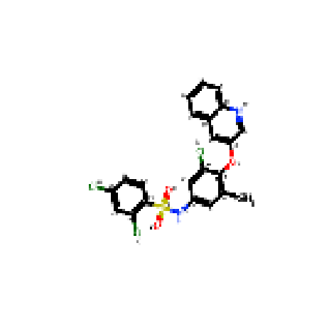 O=S(=O)(Nc1cc([SiH3])c(Oc2cnc3ccccc3c2)c(Cl)c1)c1ccc(Cl)cc1Cl